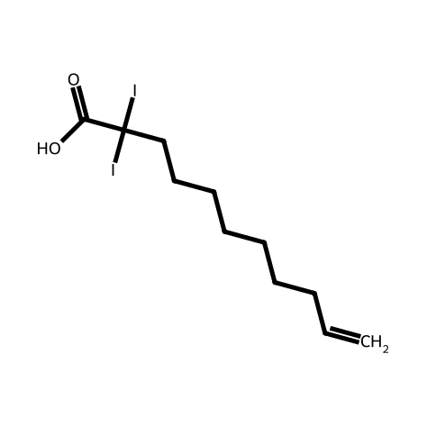 C=CCCCCCCCC(I)(I)C(=O)O